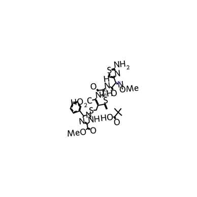 C=C1S[C@@H]2[C@H](NC(=O)/C(=N\OC)c3csc(N)n3)C(=O)N2C(C(=O)O)=C1CSN1NC(C(=O)OC)=NC1c1ccccc1.CC(C)(C)C(=O)O